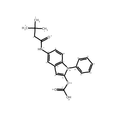 CC(C)(C)CC(=O)Nc1ccc2c(c1)cc(OC(=O)O)n2-c1ccccc1